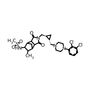 CC1C2CC(C1NS(C)(=O)=O)C1C(=O)N(C[C@H]3C[C@@H]3CN3CCN(c4cccc(Cl)c4Cl)CC3)C(=O)C21